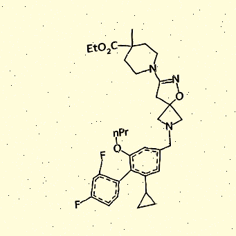 CCCOc1cc(CN2CC3(CC(N4CCC(C)(C(=O)OCC)CC4)=NO3)C2)cc(C2CC2)c1-c1ccc(F)cc1F